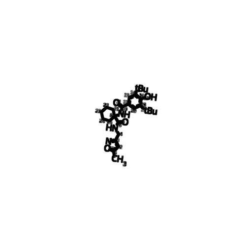 Cc1cc(CNC(=O)C2(NC(=O)c3cc(C(C)(C)C)c(O)c(C(C)(C)C)c3)CCCCC2)no1